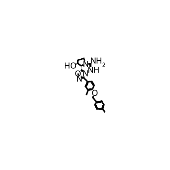 Cc1ccc(COc2ccc(-c3noc([C@@H]4[C@@H](O)CCN4C(=N)N)n3)cc2C)cc1